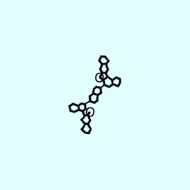 c1ccc2cc3c(cc2c1)oc1c(-c2ccc4cc(-c5cc6ccccc6c6c5oc5cc7ccccc7cc56)ccc4c2)cc2ccccc2c13